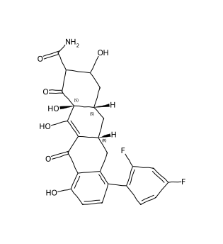 NC(=O)C1C(=O)[C@@]2(O)C(O)=C3C(=O)c4c(O)ccc(-c5ccc(F)cc5F)c4C[C@H]3C[C@H]2CC1O